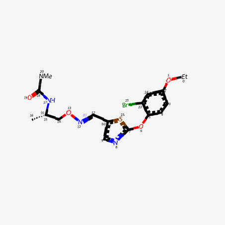 CCOc1ccc(Oc2ncc(/C=N/OC[C@H](C)NC(=O)NC)s2)c(Br)c1